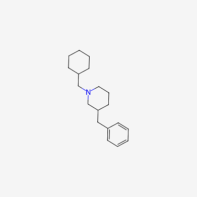 c1ccc(CC2CCCN(CC3CCCCC3)C2)cc1